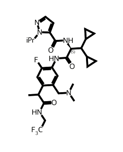 CC(C(=O)NCC(F)(F)F)c1cc(F)c(NC(=O)[C@@H](NC(=O)c2ccnn2C(C)C)C(C2CC2)C2CC2)cc1CN(C)C